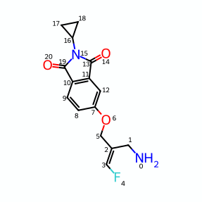 NC/C(=C\F)COc1ccc2c(c1)C(=O)N(C1CC1)C2=O